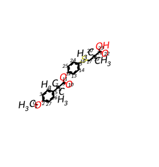 COc1ccc(C(C)(C)C(=O)Oc2ccc(SCC(C)(C)C(=O)O)cc2)cc1